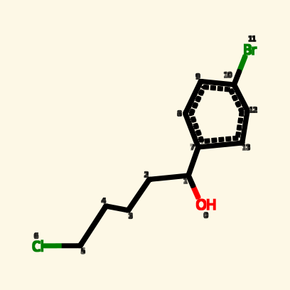 OC(CCCCCl)c1ccc(Br)cc1